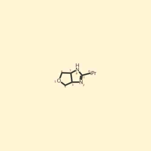 CC(C)C1=NC2COCC2N1